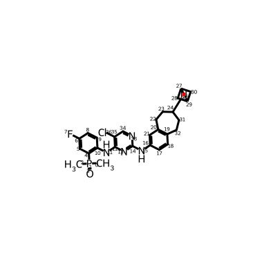 CP(C)(=O)c1cc(F)ccc1Nc1nc(Nc2ccc3c(c2)CCC(N2CC4CC2C4)CC3)ncc1Cl